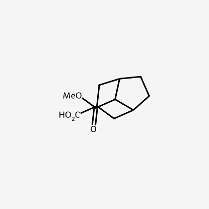 COC(=O)C1C2CCC1CC(C(=O)O)C2